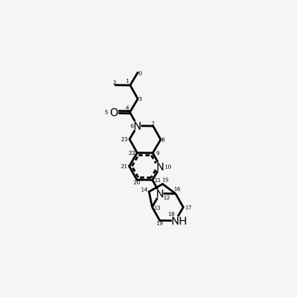 CC(C)CC(=O)N1CCc2nc(N3C4CCC3CNC4)ccc2C1